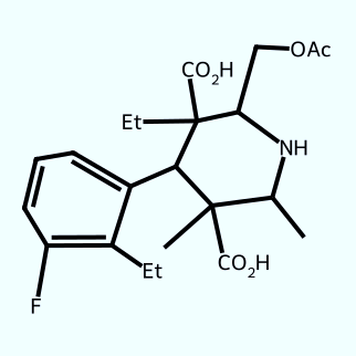 CCc1c(F)cccc1C1C(C)(C(=O)O)C(C)NC(COC(C)=O)C1(CC)C(=O)O